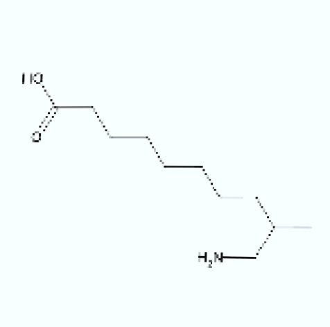 CC(CN)CCCCCCCC(=O)O